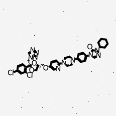 O=c1n(-c2ccc(N3CCN(c4ccc(OC[C@@H]5CO[C@@](Cn6cnnn6)(c6ccc(Cl)cc6Cl)O5)cn4)CC3)cc2)cnn1C1CCCCC1